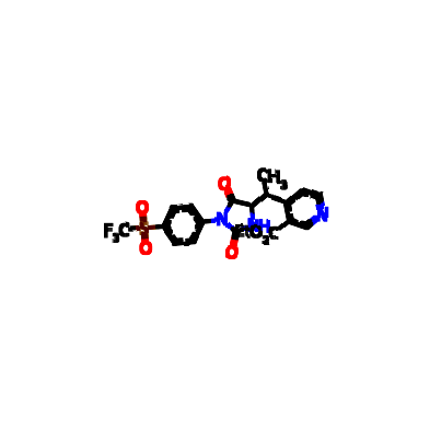 CCOC(=O)c1cnccc1C(C)C1NC(=O)N(c2ccc(S(=O)(=O)C(F)(F)F)cc2)C1=O